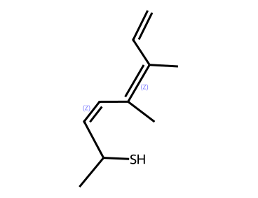 C=C/C(C)=C(C)\C=C/C(C)S